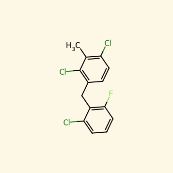 Cc1c(Cl)ccc(Cc2c(F)cccc2Cl)c1Cl